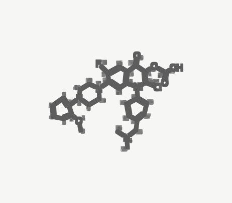 COc1ccccc1N1CCN(c2cc3c(cc2F)c(=O)c(OC(=O)O)c(Cl)n3-c2ccc(CN(C)C)cc2)CC1